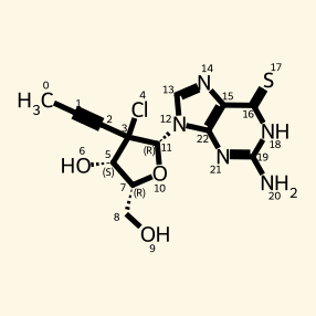 CC#CC1(Cl)[C@@H](O)[C@@H](CO)O[C@H]1n1cnc2c(=S)[nH]c(N)nc21